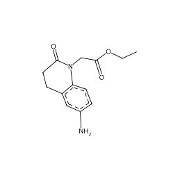 CCOC(=O)CN1C(=O)CCc2cc(N)ccc21